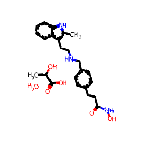 CC(O)C(=O)O.Cc1[nH]c2ccccc2c1CCNCc1ccc(/C=C/C(=O)NO)cc1.O